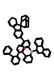 C1=CC2=C(CC1)C1(c3cc(-c4ccc(N(c5ccccc5-c5ccccc5-c5ccccc5-c5ccccc5)c5cc6ccccc6c6ccccc56)cc4)ccc32)C2CC3CC(C2)CC1C3